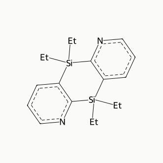 CC[Si]1(CC)c2cccnc2[Si](CC)(CC)c2cccnc21